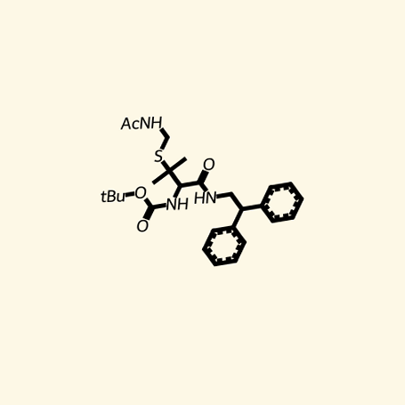 CC(=O)NCSC(C)(C)C(NC(=O)OC(C)(C)C)C(=O)NCC(c1ccccc1)c1ccccc1